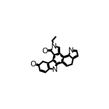 CCN1C=c2c(c3c(c4c2=C2N=CC=C2CC=4)=NC2=C3CC(=O)C=C2)C1=O